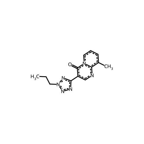 CCCn1nnc(-c2cnc3c(C)cccn3c2=O)n1